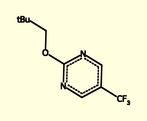 CC(C)(C)COc1ncc(C(F)(F)F)cn1